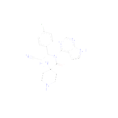 N#CCC(c1ccc(Cl)cc1)N(C(=O)C1(N)CCNCC1)c1ncnc2[nH]ccc12